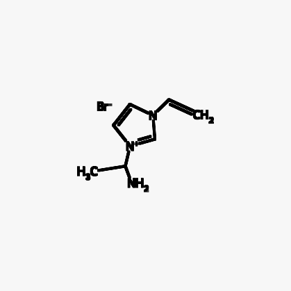 C=Cn1cc[n+](C(C)N)c1.[Br-]